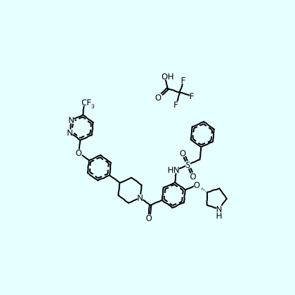 O=C(O)C(F)(F)F.O=C(c1ccc(O[C@@H]2CCNC2)c(NS(=O)(=O)Cc2ccccc2)c1)N1CCC(c2ccc(Oc3ccc(C(F)(F)F)nn3)cc2)CC1